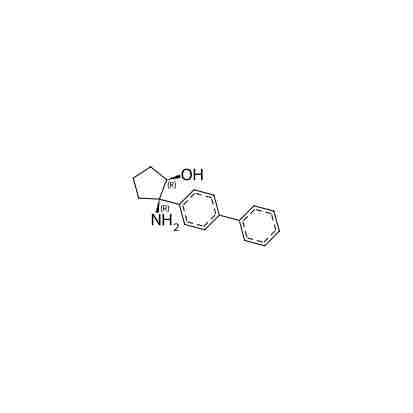 N[C@@]1(c2ccc(-c3ccccc3)cc2)CCC[C@H]1O